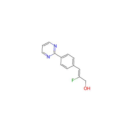 OCC(F)=Cc1ccc(-c2ncccn2)cc1